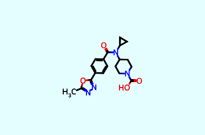 Cc1nnc(-c2ccc(C(=O)N(C3CC3)C3CCN(C(=O)O)CC3)cc2)o1